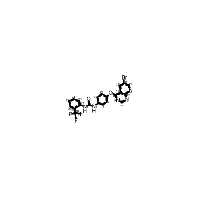 O=C(Nc1ccc(Oc2ncnc3ncc(Br)cc23)cc1)Nc1ccccc1C(F)(F)F